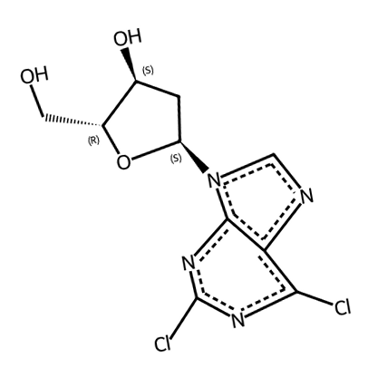 OC[C@H]1O[C@H](n2cnc3c(Cl)nc(Cl)nc32)C[C@@H]1O